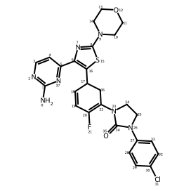 Nc1nccc(-c2nc(N3CCOCC3)sc2C2C=CC(F)=C(N3CCN(c4ccc(Cl)cc4)C3=O)C2)n1